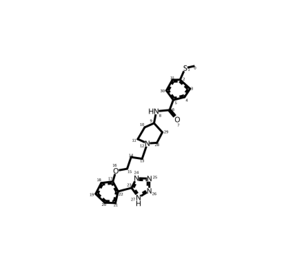 CSc1ccc(C(=O)NC2CCN(CCCOc3ccccc3-c3nnn[nH]3)CC2)cc1